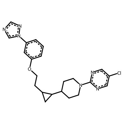 Clc1cnc(N2CCC(C3CC3CCOc3cccc(-n4cncn4)c3)CC2)nc1